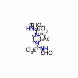 CC(C)=O.O=CNC(N1CCN(C(NC=O)C(Cl)(Cl)Cl)CC1)C(Cl)(Cl)Cl